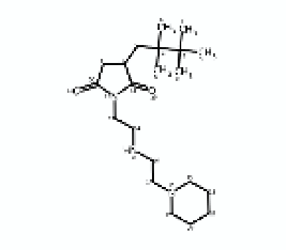 CC(C)(C)C(C)(C)CC1CC(=O)N(CCNCCN2CCCCC2)C1=O